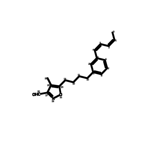 C/C=C\C=C/c1cccc(CCCCc2onc(C=O)c2C)c1